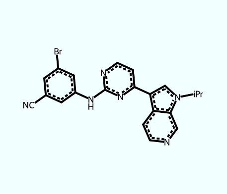 CC(C)n1cc(-c2ccnc(Nc3cc(Br)cc(C#N)c3)n2)c2ccncc21